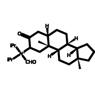 CC(C)[N+](C=O)(C(C)C)C1C[C@@]2(C)[C@@H](CC[C@H]3[C@@H]4CCC[C@@]4(C)CC[C@@H]32)CC1=O